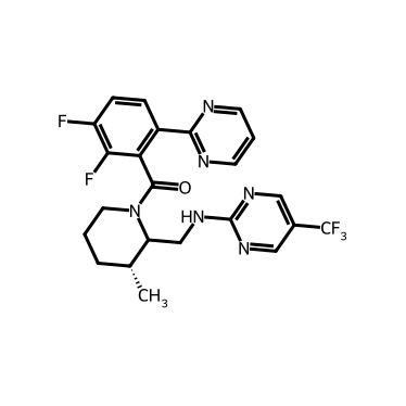 C[C@@H]1CCCN(C(=O)c2c(-c3ncccn3)ccc(F)c2F)C1CNc1ncc(C(F)(F)F)cn1